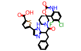 O=C1Nc2ccc(Cl)c(F)c2[C@@]2(CCCN(C(=O)C(Cc3ccccc3)c3ncc(-c4ccc(C(=O)O)s4)[nH]3)C2)O1